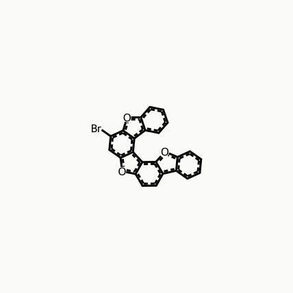 Brc1cc2oc3ccc4c5ccccc5oc4c3c2c2c1oc1ccccc12